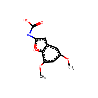 COc1cc(OC)c2oc(NC(=O)O)cc2c1